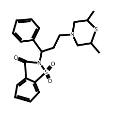 CC1CN(CCC(c2ccccc2)N2C(=O)c3ccccc3S2(=O)=O)CC(C)S1